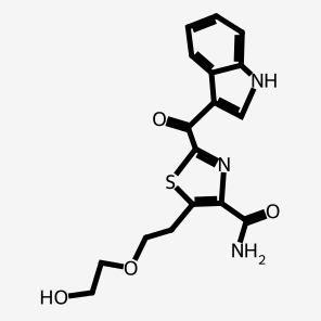 NC(=O)c1nc(C(=O)c2c[nH]c3ccccc23)sc1CCOCCO